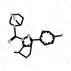 CC1CCc2c(-c3ccc(F)cc3)nn(C(=O)N3CCN4CCC3CC4)c21